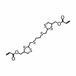 C=CC(=O)OCC1CSC(CSCCSCC2SCC(COC(=O)C=C)S2)S1